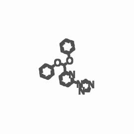 c1ccc(OC(Oc2ccccc2)c2cccc(-n3cncn3)n2)cc1